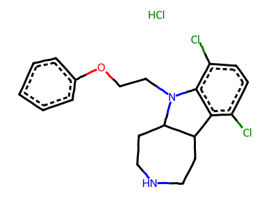 Cl.Clc1ccc(Cl)c2c1C1CCNCCC1N2CCOc1ccccc1